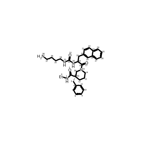 CCNC(=O)[C@]1(Cc2ccccc2)CCCN(C(=O)C(Cc2ccc3ccccc3c2)NC(=O)NCCCCN)C1